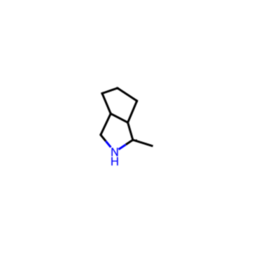 C[C]1NCC2CCCC12